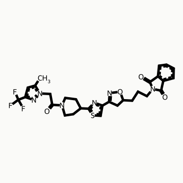 Cc1cc(C(F)(F)F)nn1CC(=O)N1CCC(c2nc(C3=NOC(CCCN4C(=O)c5ccccc5C4=O)C3)cs2)CC1